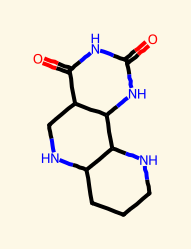 O=C1NC(=O)C2CNC3CCCNC3C2N1